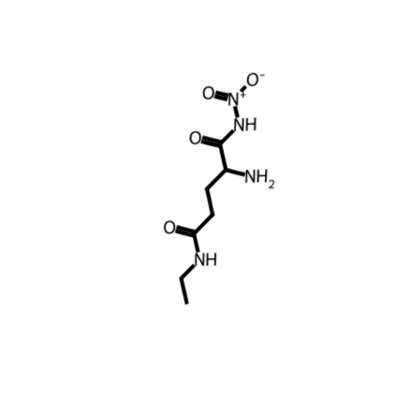 CCNC(=O)CCC(N)C(=O)N[N+](=O)[O-]